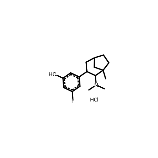 CN(C)C1C(c2cc(O)cc(F)c2)CC2CCC1(C)C2.Cl